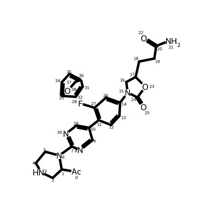 CC(=O)C1CNCCN1c1ncc(-c2ccc(N3CC(CCC(N)=O)OC3=O)cc2F)cn1.c1cc2ccc1CO2